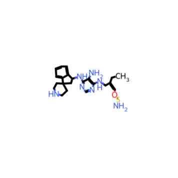 CC/C(=C/OSN)CNc1ncnc(NC2CC3(CCNCC3)c3ccccc32)c1N